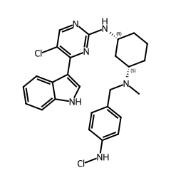 CN(Cc1ccc(NCl)cc1)[C@H]1CCC[C@@H](Nc2ncc(Cl)c(-c3c[nH]c4ccccc34)n2)C1